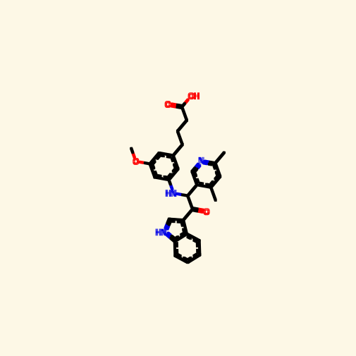 COc1cc(CCCC(=O)O)cc(NC(C(=O)c2c[nH]c3ccccc23)c2cnc(C)cc2C)c1